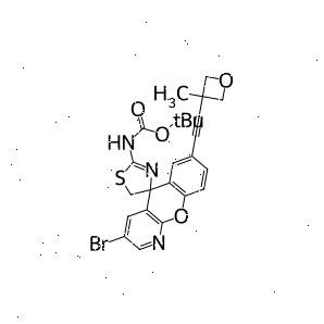 CC1(C#Cc2ccc3c(c2)C2(CSC(NC(=O)OC(C)(C)C)=N2)c2cc(Br)cnc2O3)COC1